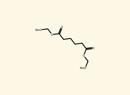 COCOC(=O)CCCCC(=O)OCOC